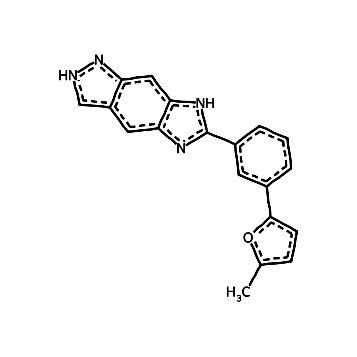 Cc1ccc(-c2cccc(-c3nc4cc5c[nH]nc5cc4[nH]3)c2)o1